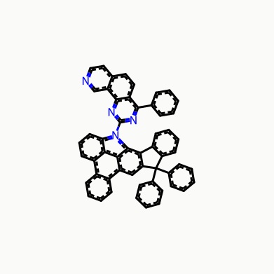 c1ccc(-c2nc(-n3c4cccc5c6ccccc6c6cc7c(c3c6c54)-c3ccccc3C7(c3ccccc3)c3ccccc3)nc3c2ccc2ccncc23)cc1